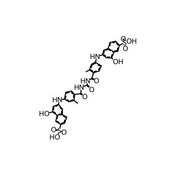 Cc1cc(Nc2cc(O)c3cc(S(=O)(=O)O)ccc3c2)ccc1C(=O)NC(=O)NC(=O)c1ccc(Nc2cc(O)c3cc(S(=O)(=O)O)ccc3c2)cc1C